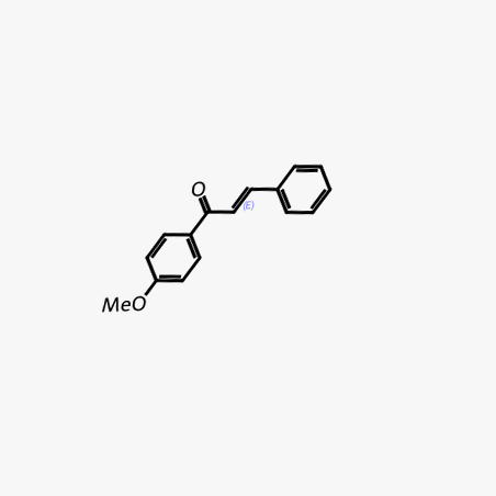 COc1ccc(C(=O)/C=C/c2ccccc2)cc1